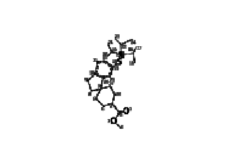 COC(=O)C1CCC2(CCc3ccc(S[Si](C(C)C)(C(C)C)C(C)C)cc32)CC1